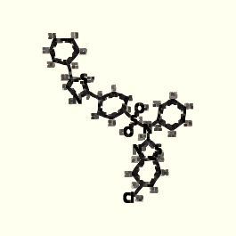 O=S(=O)(c1ccc(-c2ncc(-c3ccccc3)s2)cc1)N(c1ccccc1)c1nc2cc(Cl)ccc2s1